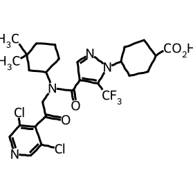 CC1(C)CCCC(N(CC(=O)c2c(Cl)cncc2Cl)C(=O)c2cnn(C3CCC(C(=O)O)CC3)c2C(F)(F)F)C1